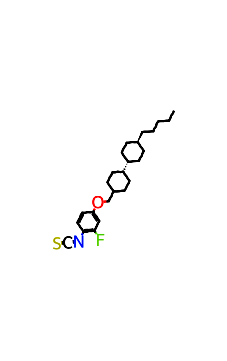 CCCCC[C@H]1CC[C@H](C2CCC(COc3ccc(N=C=S)c(F)c3)CC2)CC1